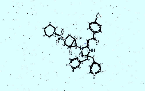 N#Cc1ccc(C(=O)/C=C2\NC(Cc3ccncc3)(Cc3ccncc3)C(=O)N2[C@H]2[C@@H]3CN(S(=O)(=O)N4CCCCC4)C[C@@H]32)cc1